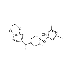 Cc1cc(O[C@]2(O)CCN(C(C)c3ccc4c(n3)OCCO4)C[C@H]2C)cc(C)n1